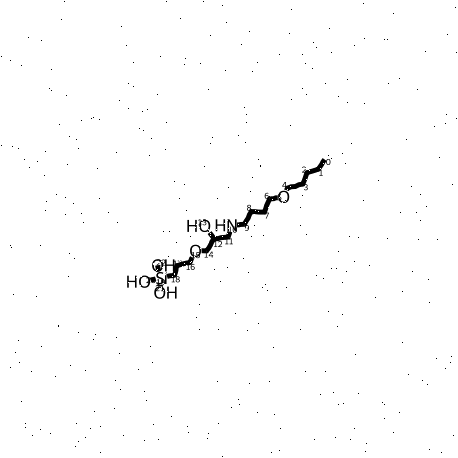 CCCCCOCCCCNCC(O)COCCC[Si](O)(O)O